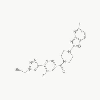 Cc1ccc2oc(N3CCN(C(=O)c4cnc(-c5cn(CC(C)(C)C)nn5)c(F)c4)CC3)nc2n1